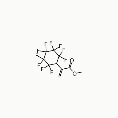 C=C(C(=O)OC)C1C(F)(F)C(F)(F)C(F)(F)C(F)(F)C1(F)F